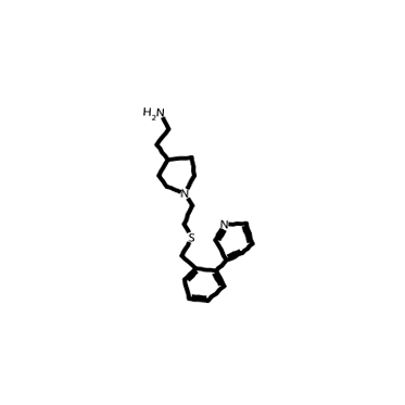 NCCC1CCN(CCSCc2ccccc2-c2cccnc2)CC1